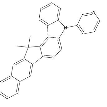 CC1(C)c2cc3ccccc3cc2-c2ccc3c(c21)c1ccccc1n3-c1cccnc1